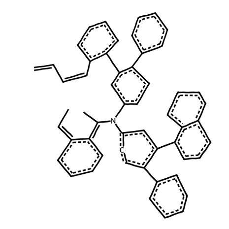 C=C/C=C\c1ccccc1-c1cc(N(/C(C)=c2\cccc\c2=C\C)c2ccc(-c3ccccc3)c(-c3cccc4ccccc34)c2)ccc1-c1ccccc1